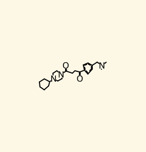 CN(C)Cc1ccc(C(=O)CCC(=O)N2CCN(C3CCCCC3)CC2)cc1